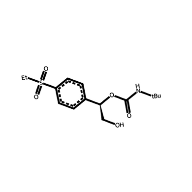 CCS(=O)(=O)c1ccc([C@H](CO)OC(=O)NC(C)(C)C)cc1